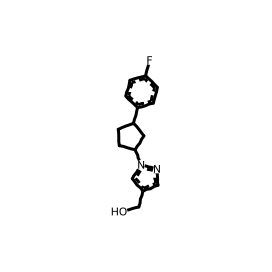 OCc1cnn(C2CCC(c3ccc(F)cc3)C2)c1